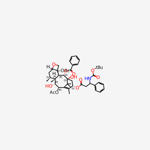 CC(=O)O[C@@H]1C2=C(C)[C@@H](OC(=O)CC(NC(=O)OC(C)(C)C)c3ccccc3)C[C@@](O)([C@@H](OC(=O)c3ccccc3)[C@@H]3[C@]4(OC(C)=O)CO[C@@H]4C[C@H](C)[C@@]3(C)[C@H]1O)C2(C)C